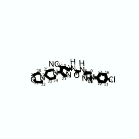 N#Cc1cc(NC(=O)Nc2cn(-c3ccc(Cl)cc3)nn2)ncc1N1CCC(N2CCOCC2)CC1